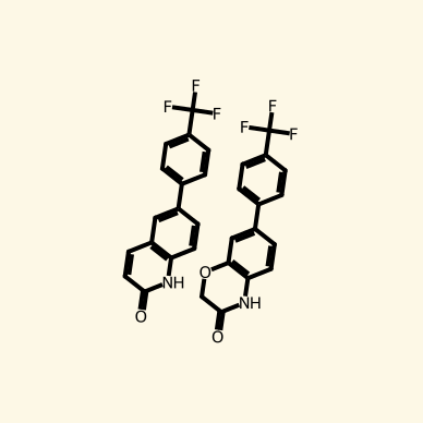 O=C1COc2cc(-c3ccc(C(F)(F)F)cc3)ccc2N1.O=c1ccc2cc(-c3ccc(C(F)(F)F)cc3)ccc2[nH]1